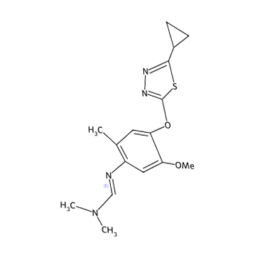 COc1cc(/N=C/N(C)C)c(C)cc1Oc1nnc(C2CC2)s1